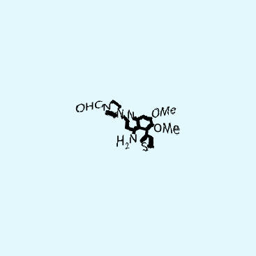 COc1cc2nc(N3CCN(C=O)CC3)cc(N)c2c(-c2ccsc2)c1OC